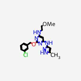 COCCNc1cc(Nc2cc(C)[nH]n2)nc(OCc2cccc(Cl)c2)n1